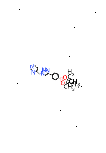 CC1(C)OB(c2ccc(-c3cn(Cc4ccncn4)nn3)cc2)OC1(C)C